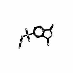 [N-]=[N+]=NS(=O)(=O)c1ccc2c(c1)C(=O)OC2=O